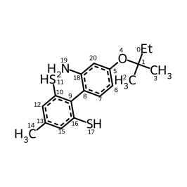 CCC(C)(C)Oc1ccc(-c2c(S)cc(C)cc2S)c(N)c1